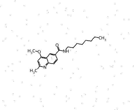 CCCCCCCCNC(=O)c1ccc2nc(C)cc(OC)c2c1